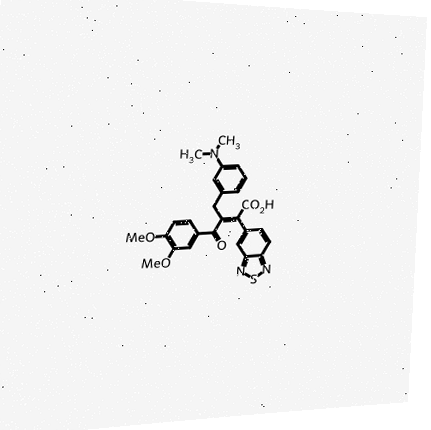 COc1ccc(C(=O)C(Cc2cccc(N(C)C)c2)=C(C(=O)O)c2ccc3nsnc3c2)cc1OC